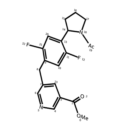 COC(=O)c1cncc(Cc2cc(F)c(C3CCCN3C(C)=O)cc2F)c1